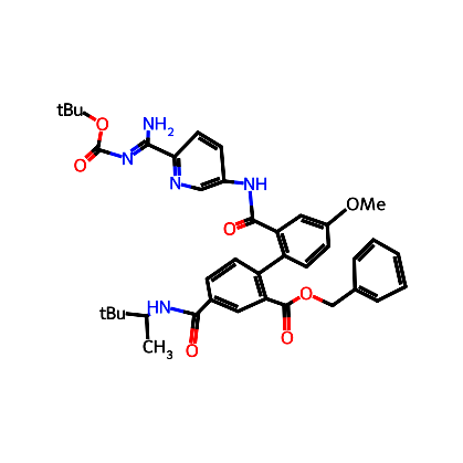 COc1ccc(-c2ccc(C(=O)NC(C)C(C)(C)C)cc2C(=O)OCc2ccccc2)c(C(=O)Nc2ccc(C(N)=NC(=O)OC(C)(C)C)nc2)c1